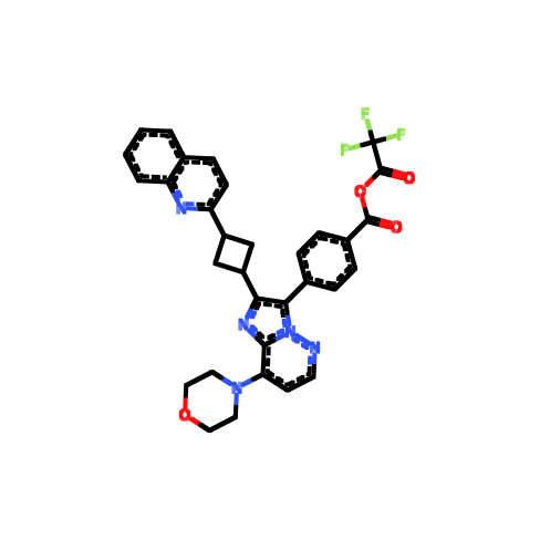 O=C(OC(=O)C(F)(F)F)c1ccc(-c2c(C3CC(c4ccc5ccccc5n4)C3)nc3c(N4CCOCC4)ccnn23)cc1